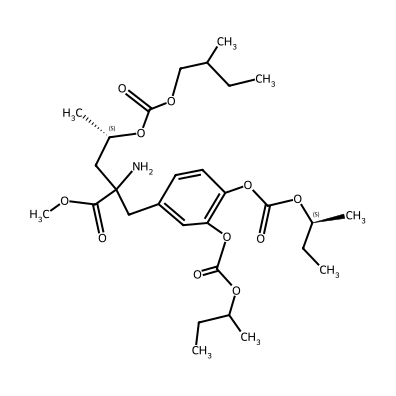 CCC(C)COC(=O)O[C@@H](C)CC(N)(Cc1ccc(OC(=O)O[C@@H](C)CC)c(OC(=O)OC(C)CC)c1)C(=O)OC